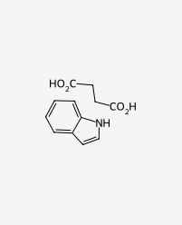 O=C(O)CCC(=O)O.c1ccc2[nH]ccc2c1